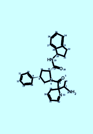 CC(N)C1(C(=O)N2C[C@H](c3ccccc3)C[C@@H]2C(=O)N[C@@H]2CCc3ccccc32)CC=CC=N1